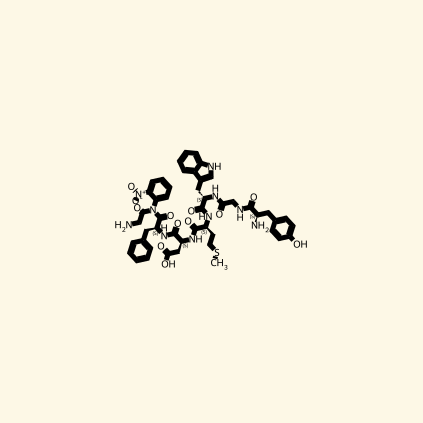 CSCC[C@H](NC(=O)[C@H](Cc1c[nH]c2ccccc12)NC(=O)CNC(=O)[C@@H](N)Cc1ccc(O)cc1)C(=O)N[C@@H](CC(=O)O)C(=O)N[C@@H](Cc1ccccc1)C(=O)N(C(=O)CN)c1ccccc1[N+](=O)[O-]